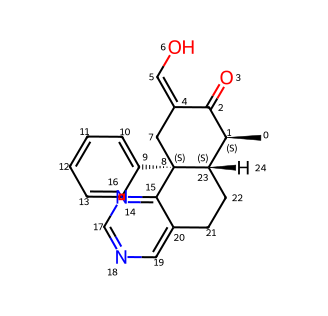 C[C@@H]1C(=O)C(=CO)C[C@]2(c3ccccc3)c3ncncc3CC[C@@H]12